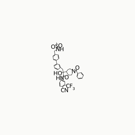 CS(=O)(=O)NCc1ccc(-c2cccc(CC(O)(C(=O)Nc3ccc(C#N)c(C(F)(F)F)c3)C3CCN(C(=O)c4ccccc4)CC3)c2)cc1